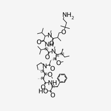 CC[C@H](C)[C@@H]([C@@H](CC(=O)N1CCC[C@H]1[C@H](OC)[C@@H](C)C(=O)N[C@@H](Cc1ccccc1)C(=O)O)OC)N(C)C(=O)[C@@H](NC(=O)C(C(C)C)N(C)C(=O)C(C)COC(C)(C)CCN)C(C)C